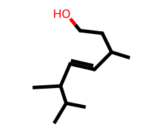 CC(C=CC(C)C(C)C)CCO